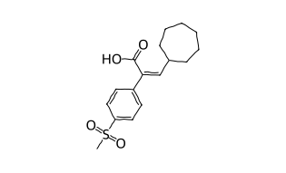 CS(=O)(=O)c1ccc(C(=CC2CCCCCC2)C(=O)O)cc1